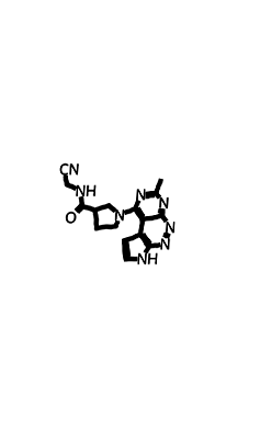 Cc1nc(N2CCC(C(=O)NCC#N)C2)c2c(nnc3[nH]ccc32)n1